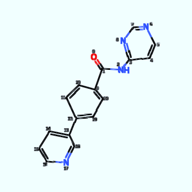 O=C(Nc1ccncn1)c1ccc(-c2cccnc2)cc1